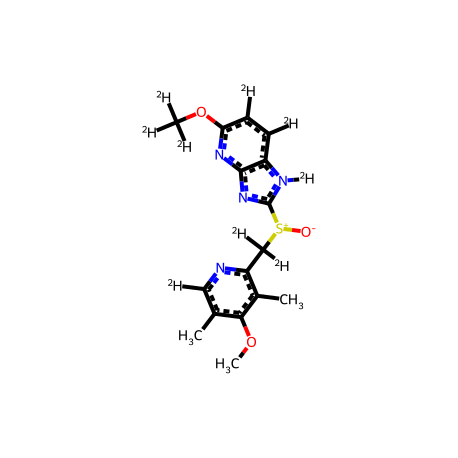 [2H]c1nc(C([2H])([2H])[S+]([O-])c2nc3nc(OC([2H])([2H])[2H])c([2H])c([2H])c3n2[2H])c(C)c(OC)c1C